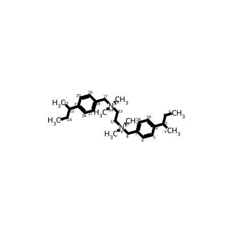 CCC(C)c1ccc(C[N+](C)(C)CC[N+](C)(C)Cc2ccc(C(C)CC)cc2)cc1